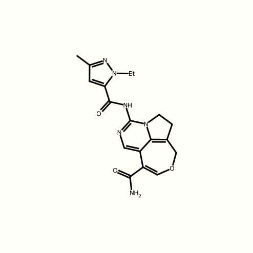 CCn1nc(C)cc1C(=O)NC1=NC=C2C(C(N)=O)=COCC3=C2N1CC3